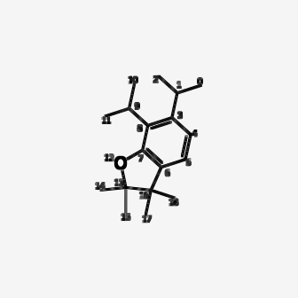 CC(C)c1ccc2c(c1C(C)C)OC(C)(C)C2(C)C